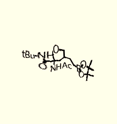 CC(=O)NC1(C(=O)NC(C)(C)C)COCC(CCB2OC(C)(C)C(C)(C)O2)C1